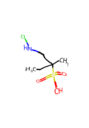 CC(C)(CNCl)S(=O)(=O)O